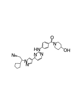 N#CCC(C1CCCC1)n1cc(-c2ccnc(Nc3ccc(C(=O)N4CCC(O)CC4)cc3)n2)cn1